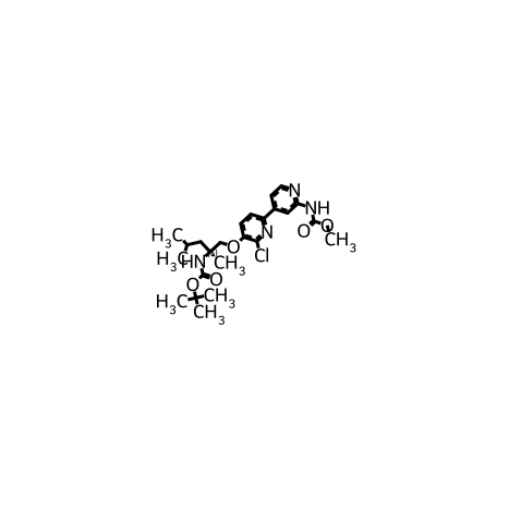 COC(=O)Nc1cc(-c2ccc(OC[C@](C)(CC(C)C)NC(=O)OC(C)(C)C)c(Cl)n2)ccn1